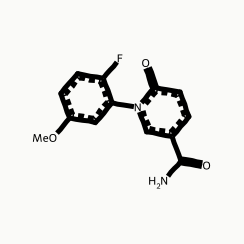 COc1ccc(F)c(-n2cc(C(N)=O)ccc2=O)c1